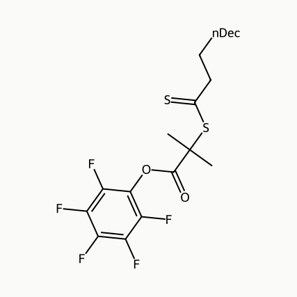 CCCCCCCCCCCCC(=S)SC(C)(C)C(=O)Oc1c(F)c(F)c(F)c(F)c1F